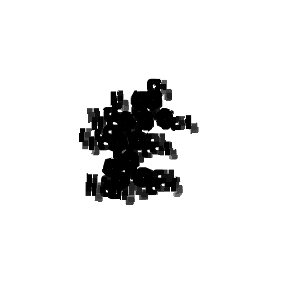 Cc1ccc(N(c2ccc(C)cc2)c2ccc(N3c4ccc(C(C)(C)C)cc4B4c5cc(C(C)(C)C)ccc5N(c5ccc(N(c6ccc(C(C)(C)C)cc6)c6ccc(C(C)(C)C)cc6)c6c5sc5ccccc56)c5cc(C(C)(C)C)cc3c54)c3sc4ccccc4c23)cc1